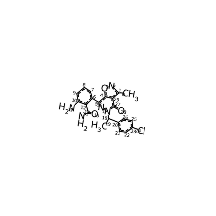 Cc1noc2c(-c3cccc(N)c3C(N)=O)nn(C(C)c3ccc(Cl)cc3)c(=O)c12